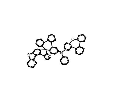 c1ccc(N(c2ccc3c(c2)-c2ccccc2-c2ccccc2O3)c2ccc3c(c2)-c2ccccc2-c2ccccc2C32c3ccccc3-c3c2ccc2sc4ccccc4c32)cc1